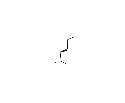 C[SiH](C)C=CCI